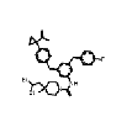 C=C(Nc1cc(Cc2ccc(F)cc2)cc(Cc2ccc(C3(C(=C)C)CC3)cc2)c1)N1CCC(C)(CC(CC)CC)CC1